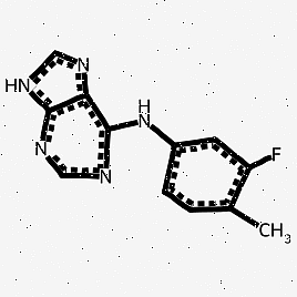 Cc1ccc(Nc2ncnc3[nH]cnc23)cc1F